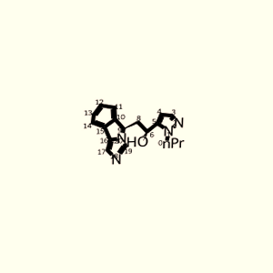 CCCn1nccc1[C@@H](O)C[C@@H]1c2ccccc2-c2cncn21